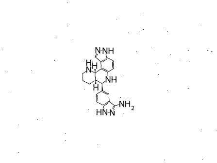 Nc1n[nH]c2ccc([C@@H]3Nc4ccc5[nH]ncc5c4[C@H]4NCCC[C@H]43)cc12